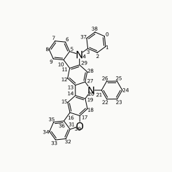 c1ccc(-n2c3ccccc3c3cc4c5cc6c(cc5n(-c5ccccc5)c4cc32)oc2ccccc26)cc1